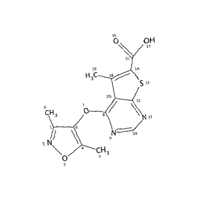 Cc1noc(C)c1Oc1ncnc2sc(C(=O)O)c(C)c12